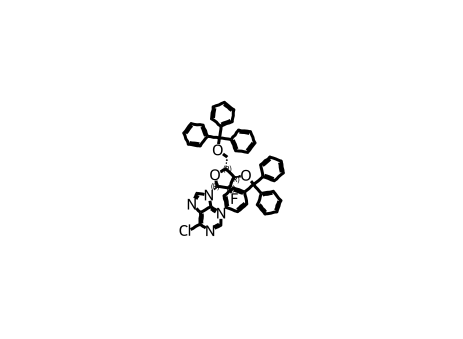 F[C@@H]1[C@H](OC(c2ccccc2)(c2ccccc2)c2ccccc2)[C@@H](COC(c2ccccc2)(c2ccccc2)c2ccccc2)O[C@H]1n1cnc2c(Cl)ncnc21